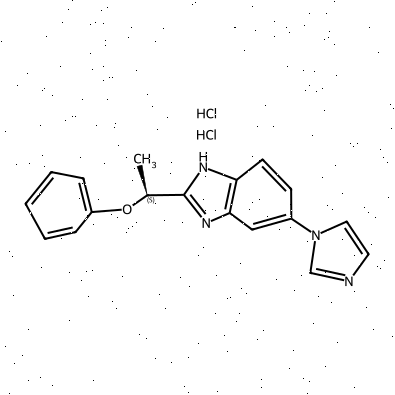 C[C@H](Oc1ccccc1)c1nc2cc(-n3ccnc3)ccc2[nH]1.Cl.Cl